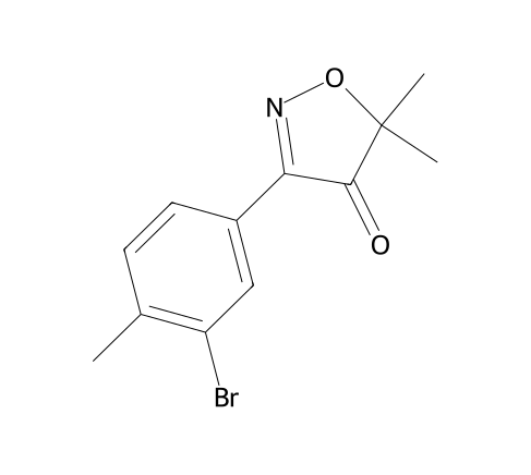 Cc1ccc(C2=NOC(C)(C)C2=O)cc1Br